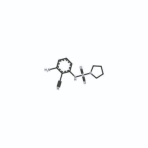 N#Cc1c(N)cccc1NS(=O)(=O)N1CCCC1